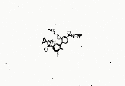 Cc1c(F)cc(C(=O)NC2CC2)cc1-c1ccc(C(=O)NCC2CC2)cc1OCCN(C)C